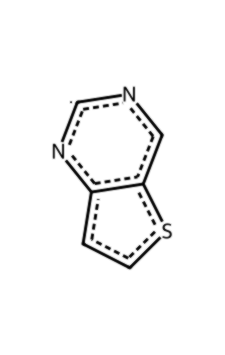 [c]1ncc2sccc2n1